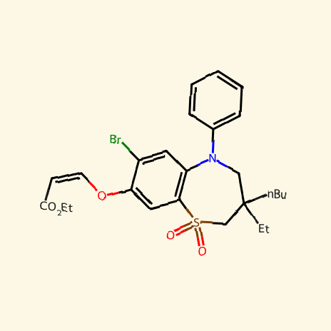 CCCCC1(CC)CN(c2ccccc2)c2cc(Br)c(O/C=C\C(=O)OCC)cc2S(=O)(=O)C1